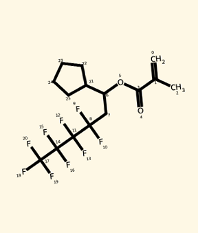 C=C(C)C(=O)OC(CC(F)(F)C(F)(F)C(F)(F)C(F)(F)F)C1CCCC1